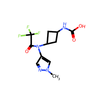 Cn1cc(N(C(=O)C(F)(F)F)C2CC(NC(=O)O)C2)cn1